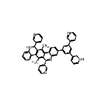 Cc1c2c(c(C)c3c1c(-c1cccnc1)nc1cc(-c4cc(C5=CC=CNC5)cc(-c5cccnc5)c4)ccc13)C(c1cccnc1)Nc1ccccc1-2